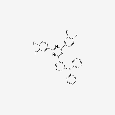 Fc1ccc(-c2nc(-c3cccc(P(c4ccccc4)c4ccccc4)c3)nc(-c3ccc(F)c(F)c3)n2)cc1F